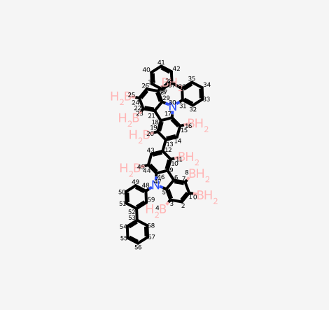 Bc1cc(B)c2c(c1B)c1c(B)c(-c3cc(B)c4c(c3B)c3c(B)c(B)cc(B)c3n4-c3ccccc3-c3ccccc3)cc(B)c1n2-c1cccc(-c2ccccc2)c1